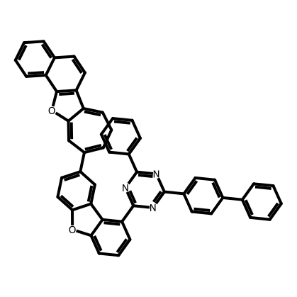 C1=C(c2ccc3oc4cccc(-c5nc(-c6ccccc6)nc(-c6ccc(-c7ccccc7)cc6)n5)c4c3c2)C=c2oc3c(ccc4ccccc43)c2=CC1